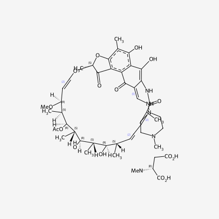 CN[C@H](CC(=O)O)C(=O)O.CO[C@H]1/C=C\O[C@@]2(C)Oc3c(C)c(O)c4c(c3C2=O)C(=O)/C(=C/NN2CCN(C)CC2)C(=C4O)NC(=O)/C(C)=C\C=C/[C@H](C)[C@@H](O)[C@H](C)[C@@H](O)[C@H](C)[C@@H](OC(C)=O)[C@H]1C